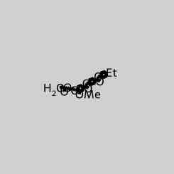 C=CC(=O)OCCOc1ccc(C(=O)Oc2ccc(C(=O)Oc3ccc(CC)cc3)cc2)cc1OC